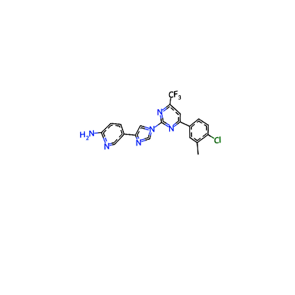 Cc1cc(-c2cc(C(F)(F)F)nc(-n3cnc(-c4ccc(N)nc4)c3)n2)ccc1Cl